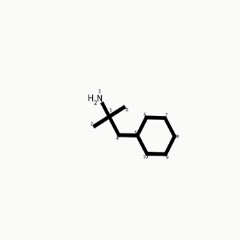 CC(C)(N)CC1CCCCC1